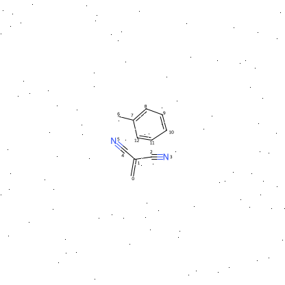 C=C(C#N)C#N.Cc1ccccc1